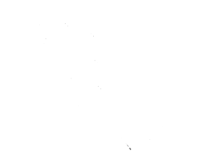 CCCn1c(N)c(-c2ncc[nH]2)c(=O)c2ccc(C#C[C@@](C)(O)COC)nc21